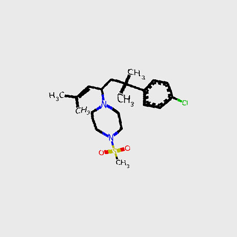 CC(C)=CC(CC(C)(C)c1ccc(Cl)cc1)N1CCN(S(C)(=O)=O)CC1